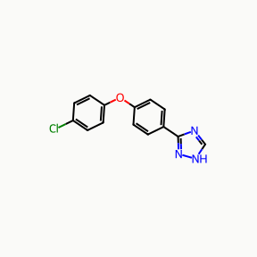 Clc1ccc(Oc2ccc(-c3nc[nH]n3)cc2)cc1